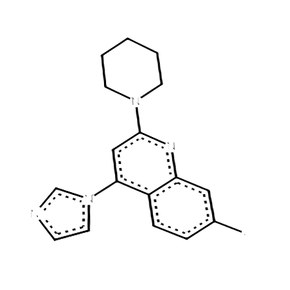 Clc1ccc2c(-n3ccnc3)cc(N3CCCCC3)nc2c1